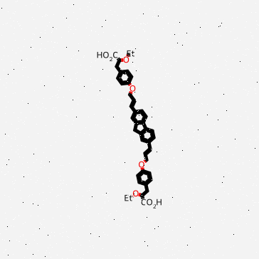 CCOC(Cc1ccc(OCC=Cc2ccc3c(c2)Cc2cc(C=CCOc4ccc(CC(OCC)C(=O)O)cc4)ccc2-3)cc1)C(=O)O